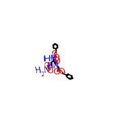 NS(=O)(=O)CCC(NC(=O)OCc1ccccc1)C(=O)NCC(=O)OCc1ccccc1